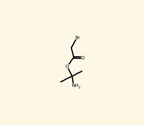 CC(C)(N)OC(=O)CBr